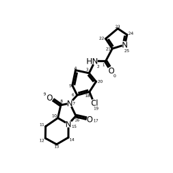 O=C(Nc1ccc(N2C(=O)C3CCCCN3C2=O)c(Cl)c1)C1=CCC=N1